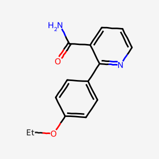 CCOc1ccc(-c2ncccc2C(N)=O)cc1